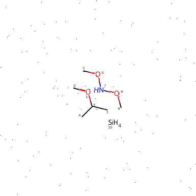 COC(C)C.CONOC.[SiH4]